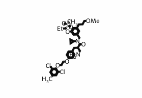 CCC(Oc1cc(CCCOC)cc(CN(C(=O)C(CN)Cc2ccc(OCCOc3c(Cl)cc(C)cc3Cl)cc2)C2CC2)c1)S(C)(=O)=O